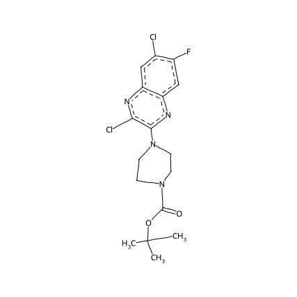 CC(C)(C)OC(=O)N1CCN(c2nc3cc(F)c(Cl)cc3nc2Cl)CC1